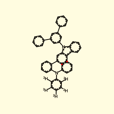 [2H]c1c([2H])c([2H])c(N(c2ccccc2)c2ccccc2-c2ccc3c4ccccc4n(-c4cc(-c5ccccc5)cc(-c5ccccc5)c4)c3c2)c([2H])c1[2H]